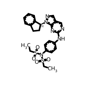 CCS(=O)(=O)N(c1ccc(Nc2ncc3cnn([C@H]4CCc5ccccc54)c3n2)cc1)S(=O)(=O)CC